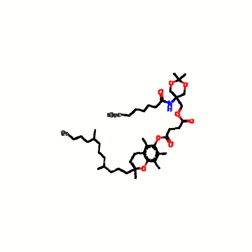 CCCCCCCCCCCCCCCC(=O)NC1(COC(=O)CCC(=O)Oc2c(C)c(C)c3c(c2C)CCC(C)(CCCC(C)CCCC(C)CCCC(C)C)O3)COC(C)(C)OC1